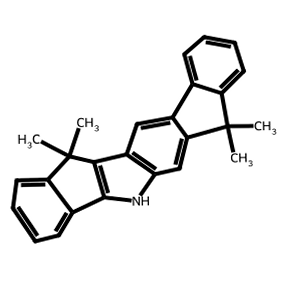 CC1(C)c2ccccc2-c2cc3c4c([nH]c3cc21)-c1ccccc1C4(C)C